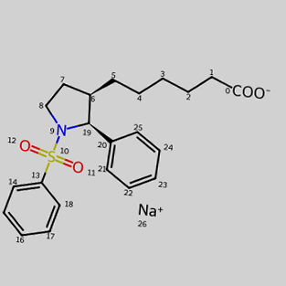 O=C([O-])CCCCC[C@@H]1CCN(S(=O)(=O)c2ccccc2)[C@@H]1c1ccccc1.[Na+]